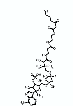 CC(C)(COP(=O)(O)OP(=O)(O)OCC1OC(C)(n2cnc3c(N)ncnc32)C(O)C1OP(=O)(O)O)C(O)C(=O)NCCC(=O)NCCSC(=O)CC(=O)SCCS